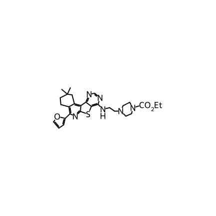 CCOC(=O)N1CCN(CCNc2ncnc3c2sc2nc(-c4ccco4)c4c(c23)CC(C)(C)CC4)CC1